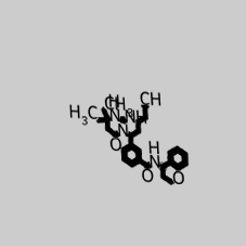 C#CCCCC(c1cccc(C(=O)N[C@@H]2CCOc3ccccc32)c1)N1C(=N)NC(CC)(CC)CC1=O